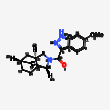 COc1ccc2c(C(=O)N3C[C@@H]4C[C@H]5CCC4[C@@H]3C5)n[nH]c2c1